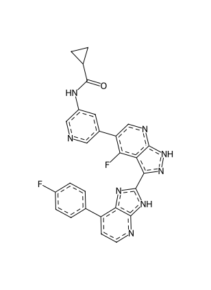 O=C(Nc1cncc(-c2cnc3[nH]nc(-c4nc5c(-c6ccc(F)cc6)ccnc5[nH]4)c3c2F)c1)C1CC1